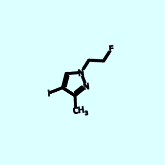 Cc1nn(CCF)cc1I